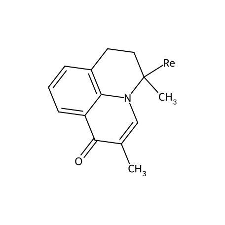 Cc1cn2c3c(cccc3c1=O)CC[C]2(C)[Re]